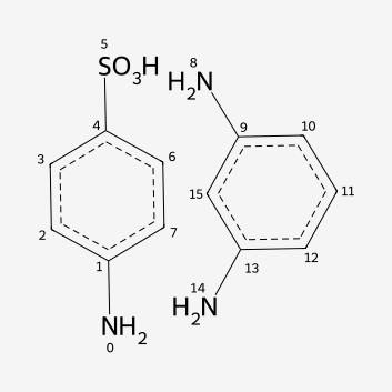 Nc1ccc(S(=O)(=O)O)cc1.Nc1cccc(N)c1